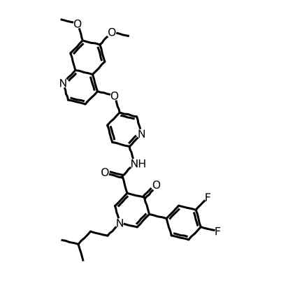 COc1cc2nccc(Oc3ccc(NC(=O)c4cn(CCC(C)C)cc(-c5ccc(F)c(F)c5)c4=O)nc3)c2cc1OC